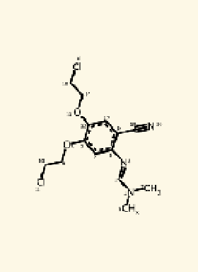 CN(C)C=Nc1cc(OCCCl)c(OCCCl)cc1C#N